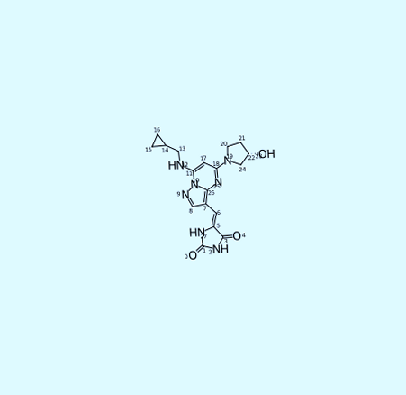 O=C1NC(=O)/C(=C/c2cnn3c(NCC4CC4)cc(N4CC[C@H](O)C4)nc23)N1